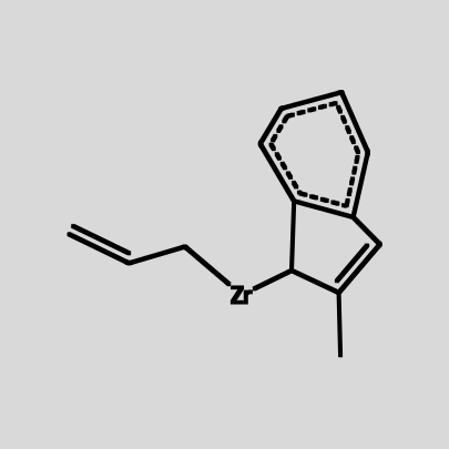 C=C[CH2][Zr][CH]1C(C)=Cc2ccccc21